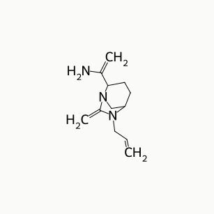 C=CCN1C(=C)N2CC1CCC2C(=C)N